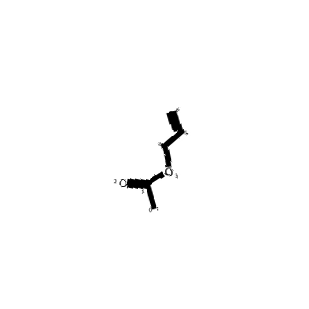 [CH]C(=O)OCC=C